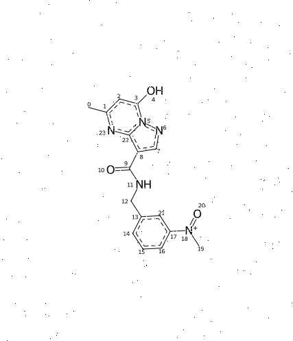 Cc1cc(O)n2ncc(C(=O)NCc3cccc([N+](C)=O)c3)c2n1